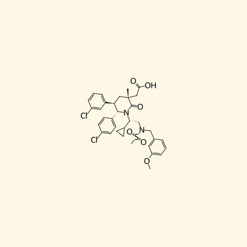 COc1cccc(CN(C[C@H](C2CC2)N2C(=O)[C@@](C)(CC(=O)O)C[C@H](c3cccc(Cl)c3)[C@H]2c2ccc(Cl)cc2)S(C)(=O)=O)c1